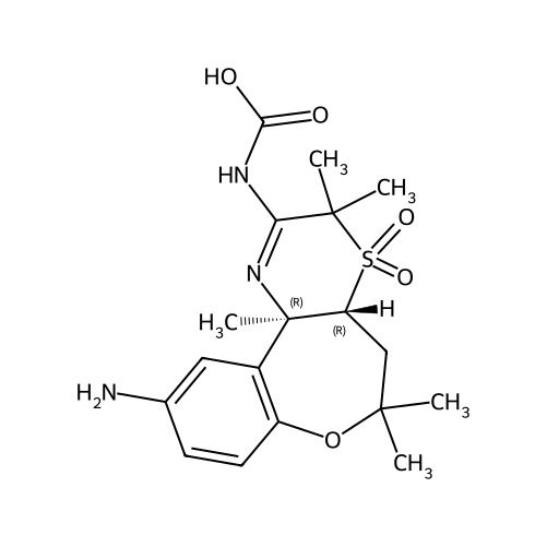 CC1(C)C[C@@H]2[C@](C)(N=C(NC(=O)O)C(C)(C)S2(=O)=O)c2cc(N)ccc2O1